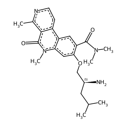 Cc1nccc2c1c(=O)n(C)c1cc(OC[C@@H](N)CC(C)C)c(C(=O)N(C)C)cc21